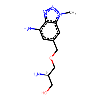 Cn1nnc2c(N)cc(COC[C@H](N)CO)cc21